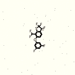 Fc1cc(F)cc(Oc2ccc3c(c2C(F)F)SC(F)(F)[C@H]3F)c1